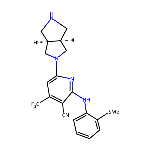 CSc1ccccc1Nc1nc(N2C[C@H]3CNC[C@H]3C2)cc(C(F)(F)F)c1C#N